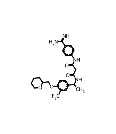 CC(NC(=O)CC(=O)Nc1ccc(C(=N)N)cc1)c1ccc(OCC2CCCCO2)c(C(F)(F)F)c1